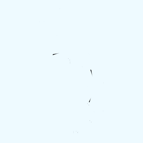 CCCC(CCC)COC(O)[C@H](Cc1ccccc1)NP(=O)(OC[C@H]1OC[C@@H](n2ccc(N)nc2=O)O1)Oc1ccccc1